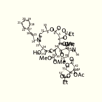 CCC(=O)O[C@@H]1CC(=O)O[C@H](C)CCN(CC#Cc2ccccc2)C[C@H](O)[C@H](C)C[C@H](CC(OC)OC)[C@H]([C@@H]2O[C@H](C)[C@@H](O[C@@H]3C[C@@](C)(OC(C)=O)[C@@H](OC(=O)CC)[C@H](C)O3)[C@H](N(C)C)[C@H]2O)[C@@H]1OC